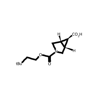 CC(C)(C)CCOC(=O)N1C[C@@H]2[C@H](C1)[C@H]2C(=O)O